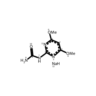 COc1cc(OC)nc(NC(N)=O)n1.[NaH]